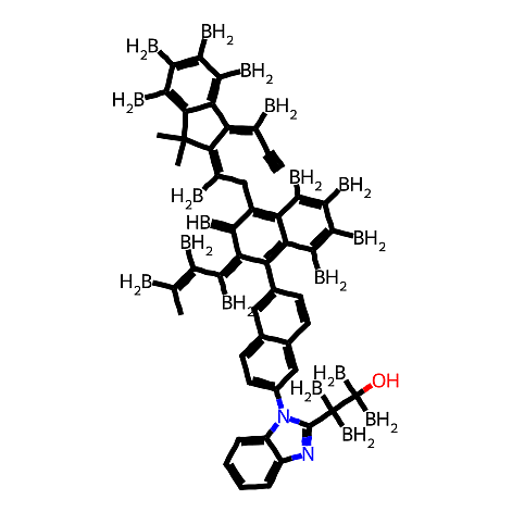 B=c1c(C/C(B)=C2\C(=C(\B)C#C)c3c(B)c(B)c(B)c(B)c3C2(C)C)c2c(B)c(B)c(B)c(B)c2c(-c2ccc3cc(-n4c(C(B)(B)C(B)(B)O)nc5ccccc54)ccc3c2)/c1=C(B)/C(B)=C(/B)C